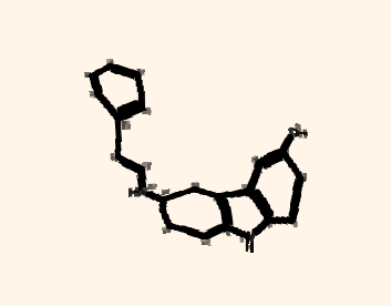 Oc1ccc2[nH]c3c(c2c1)CC(NCCc1ccccc1)CC3